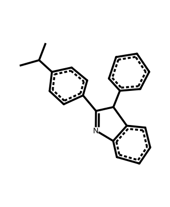 CC(C)c1ccc(C2=Nc3ccccc3C2c2ccccc2)cc1